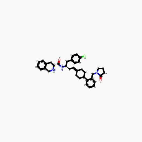 O=C(N[C@H](CC=C1CCC(c2ccccc2CN2CCCC2=O)CC1)Cc1ccc(Cl)cc1)[C@H]1Cc2ccccc2CN1